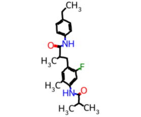 CCc1ccc(NC(=O)C(C)Cc2cc(C)c(NC(=O)C(C)C)cc2F)cc1